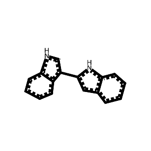 [c]1[nH]c2ccccc2c1-c1cc2ccccc2[nH]1